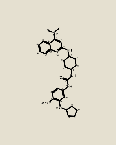 COc1ccc(NC(=O)NC2CCC(Nc3cc(N(C)C)c4ccccc4n3)CC2)cc1OC1CCCC1